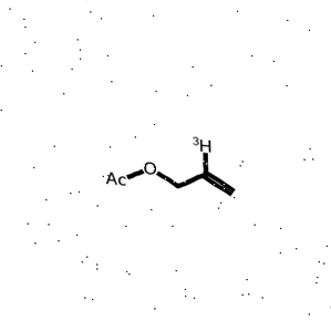 [3H]C(=C)COC(C)=O